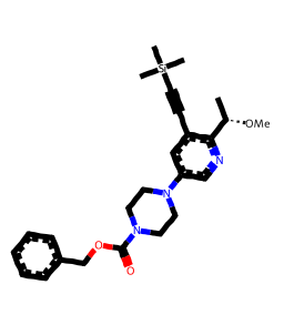 CO[C@@H](C)c1ncc(N2CCN(C(=O)OCc3ccccc3)CC2)cc1C#C[Si](C)(C)C